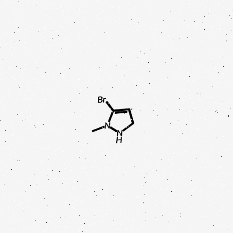 CN1NC[C]=C1Br